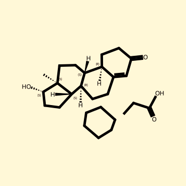 C1CCCCC1.CCC(=O)O.C[C@]12CC[C@H]3[C@@H](CCC4=CC(=O)CC[C@@H]43)[C@@H]1CC[C@@H]2O